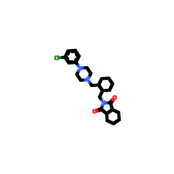 O=C1C2CCCCC2C(=O)N1CC1CCCCC1CN1CCN(c2cccc(Cl)c2)CC1